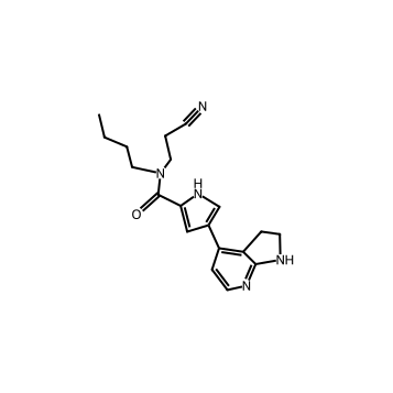 CCCCN(CCC#N)C(=O)c1cc(-c2ccnc3c2CCN3)c[nH]1